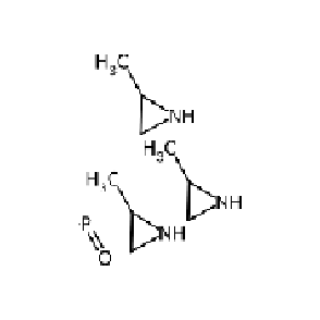 CC1CN1.CC1CN1.CC1CN1.O=[P]